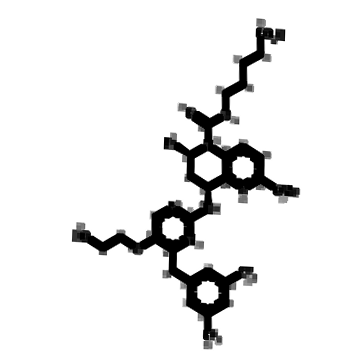 CC[C@@H]1C[C@H](Nc2ncc(OCCO)c(Cc3cc(C(F)(F)F)cc(C(F)(F)F)c3)n2)c2nc(OC)ccc2N1C(=O)OCCCCC(=O)O